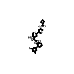 Cc1cc(F)cc(-c2cccc3[nH]c(-c4n[nH]c5cnc(-c6cncc(NC(=O)C7CCC7)c6)cc45)nc23)c1